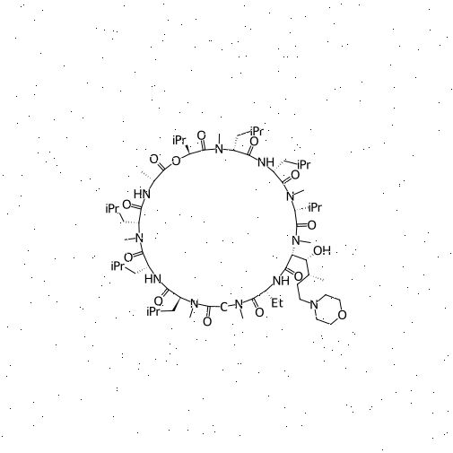 CC[C@H]1NC(=O)[C@@H]([C@H](O)[C@H](C)CCN2CCOCC2)N(C)C(=O)[C@@H](C(C)C)N(C)C(=O)[C@@H](CC(C)C)NC(=O)[C@@H](CC(C)C)N(C)C(=O)[C@H](C(C)C)OC(=O)[C@@H](C)NC(=O)[C@@H](CC(C)C)N(C)C(=O)[C@@H](CC(C)C)NC(=O)[C@H](CC(C)C)N(C)C(=O)CN(C)C1=O